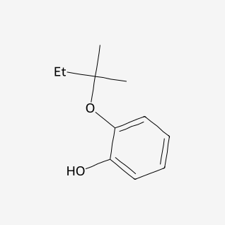 CCC(C)(C)Oc1ccccc1O